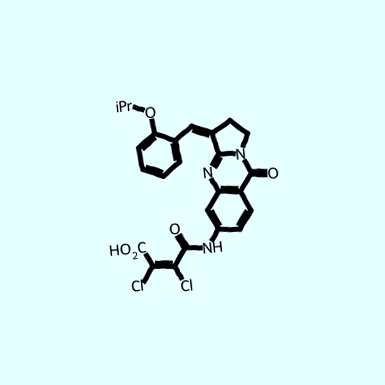 CC(C)Oc1ccccc1/C=C1/CCn2c1nc1cc(NC(=O)/C(Cl)=C(/Cl)C(=O)O)ccc1c2=O